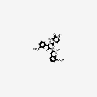 CCN1CCN(C(=O)NC(C(=O)N[C@H]2Cc3cccc(C(=O)O)c3OB2O)c2cccc(C(=O)O)c2)C(O)C1=O